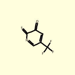 O=C1C=C(C(F)(F)F)C=NC1=S